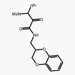 CCCC(NC)C(=O)C(=O)NCC1COc2ccccc2O1